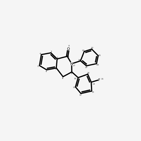 O=C1c2ccccc2CC(c2cccc(F)c2)N1c1ccccc1